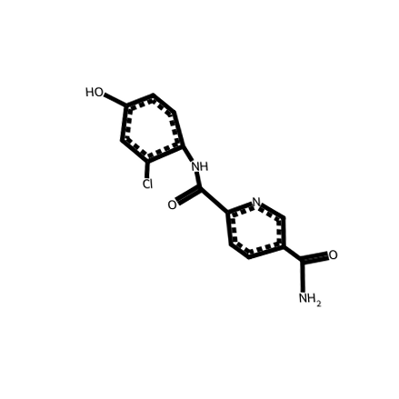 NC(=O)c1ccc(C(=O)Nc2ccc(O)cc2Cl)nc1